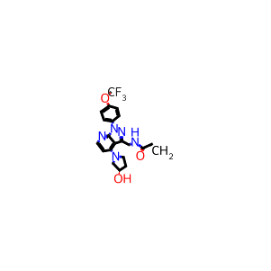 C=CC(=O)NCc1nn(-c2ccc(OC(F)(F)F)cc2)c2nccc(N3CC[C@H](O)C3)c12